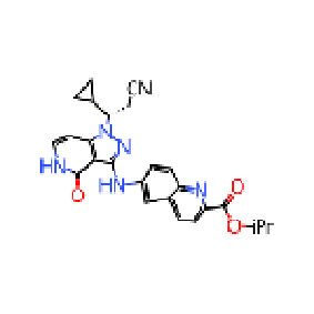 CC(C)OC(=O)c1ccc2cc(Nc3nn([C@@H](CC#N)C4CC4)c4cc[nH]c(=O)c34)ccc2n1